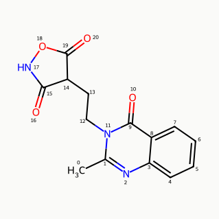 Cc1nc2ccccc2c(=O)n1CCC1C(=O)NOC1=O